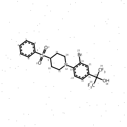 O=S(=O)(c1ccccc1)C1CCN(c2ccc(C(O)(C(F)(F)F)C(F)(F)F)cc2Br)CC1